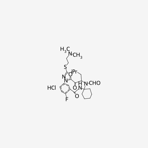 CC(C)CC(C(=O)c1nnc(SCCN(C)C)o1)N(C=O)C1(NC(=O)c2ccccc2F)CCCCC1.Cl